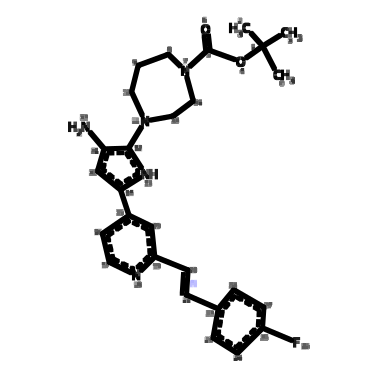 CC(C)(C)OC(=O)N1CCCN(c2[nH]c(-c3ccnc(/C=C/c4ccc(F)cc4)c3)cc2N)CC1